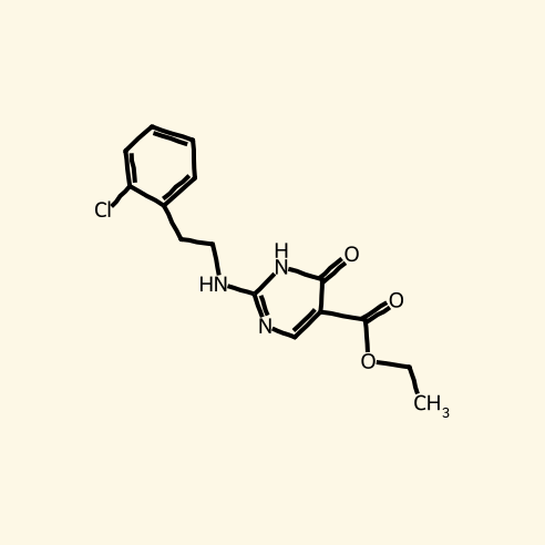 CCOC(=O)c1cnc(NCCc2ccccc2Cl)[nH]c1=O